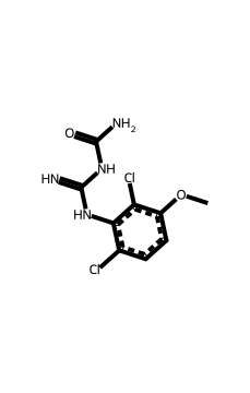 COc1ccc(Cl)c(NC(=N)NC(N)=O)c1Cl